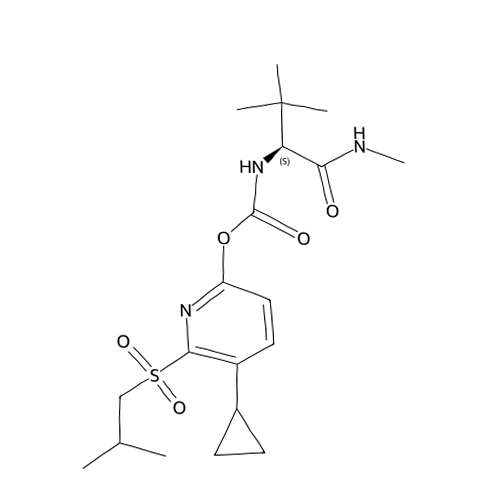 CNC(=O)[C@@H](NC(=O)Oc1ccc(C2CC2)c(S(=O)(=O)CC(C)C)n1)C(C)(C)C